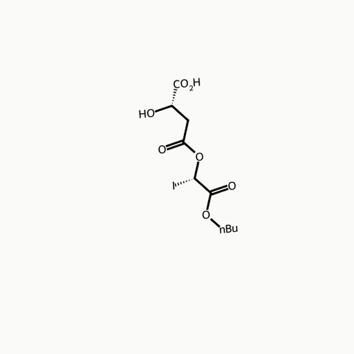 CCCCOC(=O)[C@H](I)OC(=O)C[C@H](O)C(=O)O